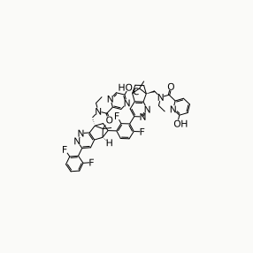 CCN(C[C@@]12CC(c3ccc(F)c(-c4cc5c(nn4)[C@@]4(CN(CC)C(=O)c6cccc(O)n6)CCC56CC64C)c3F)[C@@H](c3cc(-c4c(F)cccc4F)nnc31)C2(C)C)C(=O)c1cnc(O)cn1